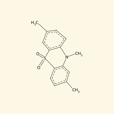 Cc1ccc2c(c1)N(C)c1ccc(C)cc1S2(=O)=O